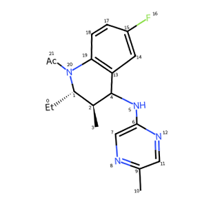 CC[C@H]1[C@H](C)C(Nc2cnc(C)cn2)c2cc(F)ccc2N1C(C)=O